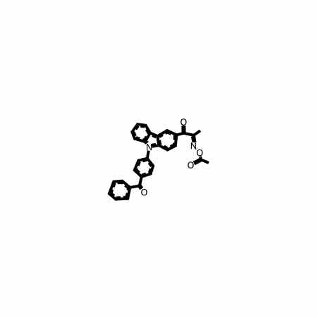 CC(=O)ON=C(C)C(=O)c1ccc2c(c1)c1ccccc1n2-c1ccc(C(=O)c2ccccc2)cc1